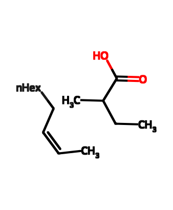 C/C=C\CCCCCCC.CCC(C)C(=O)O